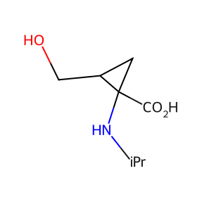 CC(C)NC1(C(=O)O)CC1CO